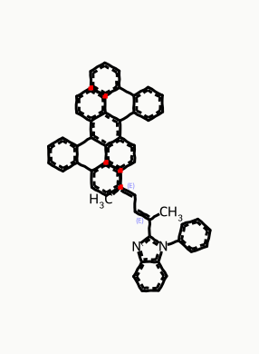 C/C(=C\C=C(/C)c1nc2ccccc2n1-c1ccccc1)c1ccc2c(-c3ccccc3-c3ccccc3)c3ccccc3c(-c3ccccc3-c3ccccc3)c2c1